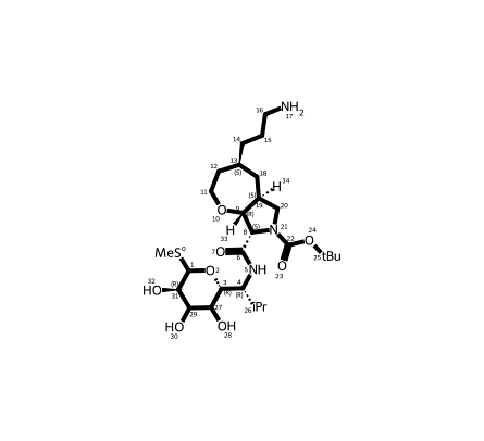 CSC1O[C@H]([C@H](NC(=O)[C@@H]2[C@@H]3OCC[C@@H](CCCN)C[C@H]3CN2C(=O)OC(C)(C)C)C(C)C)C(O)C(O)[C@H]1O